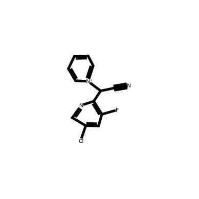 N#CC(c1ncc(Cl)cc1F)[n+]1ccccc1